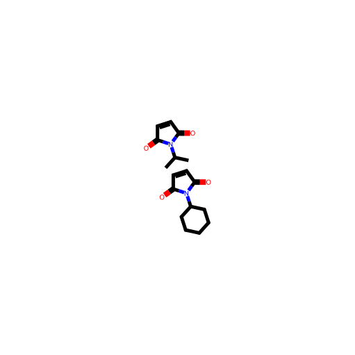 CC(C)N1C(=O)C=CC1=O.O=C1C=CC(=O)N1C1CCCCC1